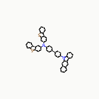 c1ccc2cc3c(cc2c1)c1ccccc1n3-c1ccc(-c2ccc(N(c3ccc4c(c3)sc3ccccc34)c3ccc4sc5ccccc5c4c3)cc2)cc1